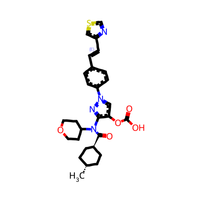 C[C@H]1CC[C@H](C(=O)N(c2nn(-c3ccc(/C=C/c4cscn4)cc3)cc2OC(=O)O)C2CCOCC2)CC1